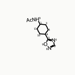 CC(=O)NC1CCC(c2n[c]no2)CC1